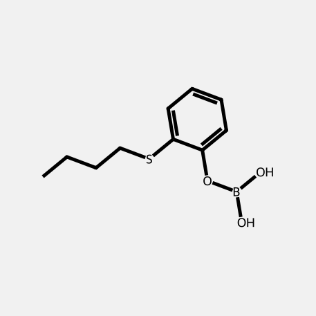 CCCCSc1ccccc1OB(O)O